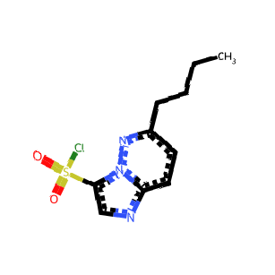 CCCCc1ccc2ncc(S(=O)(=O)Cl)n2n1